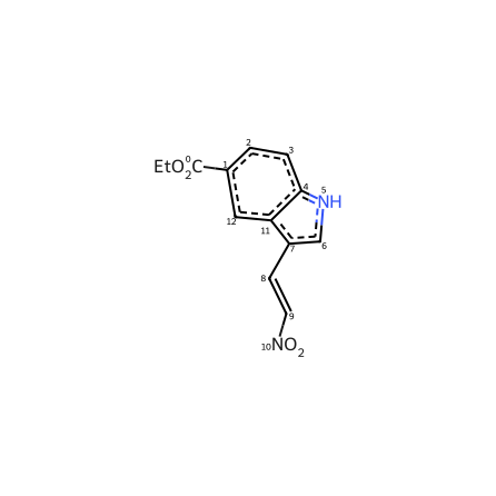 CCOC(=O)c1ccc2[nH]cc(C=C[N+](=O)[O-])c2c1